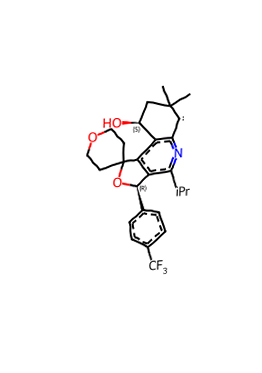 CC(C)c1nc2c(c3c1[C@@H](c1ccc(C(F)(F)F)cc1)OC31CCOCC1)[C@@H](O)CC(C)(C)[C]2